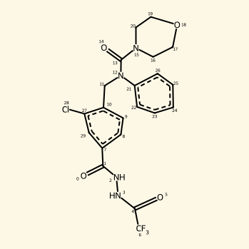 O=C(NNC(=O)C(F)(F)F)c1ccc(CN(C(=O)N2CCOCC2)c2ccccc2)c(Cl)c1